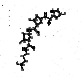 Cc1c[nH]c(C(=O)Nc2cc(C(=O)Nc3cc(C(=O)NCCCN(C)C)n(C)c3)n(C)c2)c1